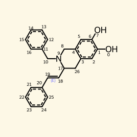 Oc1cc2c(cc1O)CN(Cc1ccccc1)C(/C=C/c1ccccc1)C2